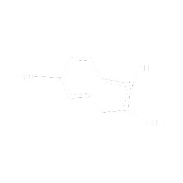 CCCCc1ccc2c(c1)cc(C=O)n2C